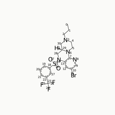 CCCN1CCN2c3ncc(Br)cc3N(S(=O)(=O)c3cccc(C(F)(F)F)c3)C[C@@H]2C1